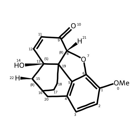 COc1ccc2c3c1O[C@H]1C(=O)C=C[C@@]4(O)[C@H](CCCC314)C2